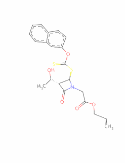 C=CCOC(=O)CN1C(=O)[C@H](C(C)O)[C@H]1SC(=S)Oc1ccc2ccccc2c1